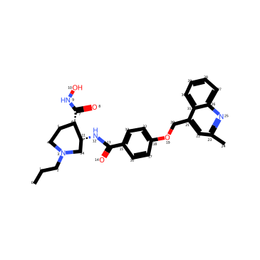 CCCN1CC[C@H](C(=O)NO)[C@H](NC(=O)c2ccc(OCc3cc(C)nc4ccccc34)cc2)C1